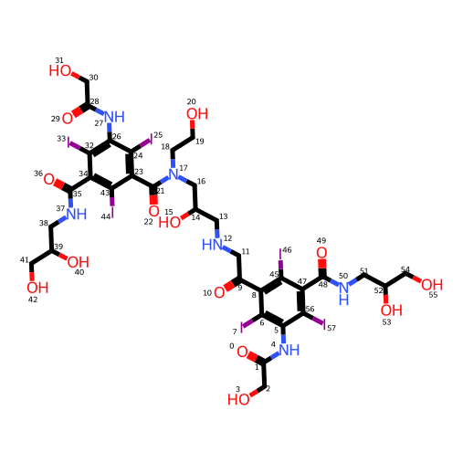 O=C(CO)Nc1c(I)c(C(=O)CNCC(O)CN(CCO)C(=O)c2c(I)c(NC(=O)CO)c(I)c(C(=O)NCC(O)CO)c2I)c(I)c(C(=O)NCC(O)CO)c1I